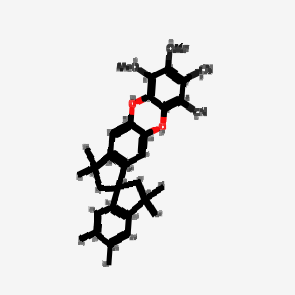 COc1c(C#N)c(C#N)c2c(c1OC)Oc1cc3c(cc1O2)C1(CC(C)(C)c2cc(C)c(C)cc21)CC3(C)C